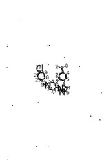 CC(C)c1ccc(-c2ccnn2C2CCN(Cc3ccc(Cl)cc3)CC2)cc1